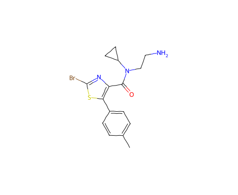 Cc1ccc(-c2sc(Br)nc2C(=O)N(CCN)C2CC2)cc1